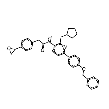 O=C(Cc1ccc(C2CO2)cc1)Nc1ncc(-c2ccc(OCc3ccccc3)cc2)nc1CC1CCCC1